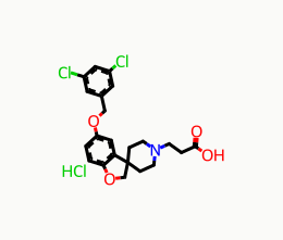 Cl.O=C(O)CCN1CCC2(CC1)COc1ccc(OCc3cc(Cl)cc(Cl)c3)cc12